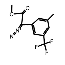 COC(=O)C(=[N+]=[N-])c1cc(C)cc(C(F)(F)F)c1